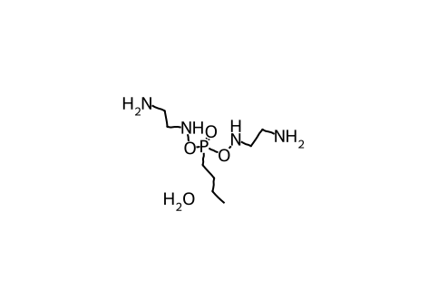 CCCCP(=O)(ONCCN)ONCCN.O